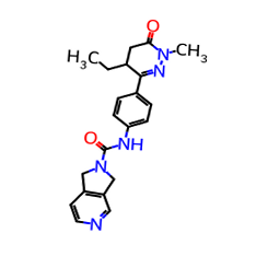 CCC1CC(=O)N(C)N=C1c1ccc(NC(=O)N2Cc3ccncc3C2)cc1